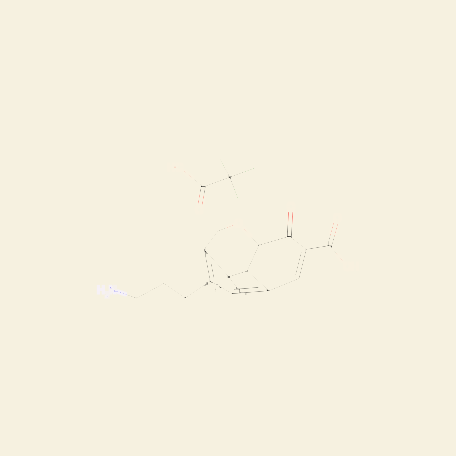 CC1(C)C2=C(CCCN)C=C3C=C(C(=O)O)C(=O)C(OC2)C31.O=C(O)C(F)(F)F